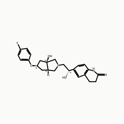 O=C1CCc2cc([C@H](O)CN3C[C@@H]4C[C@@H](Oc5ccc(F)cc5)C[C@]4(O)C3)ccc2N1